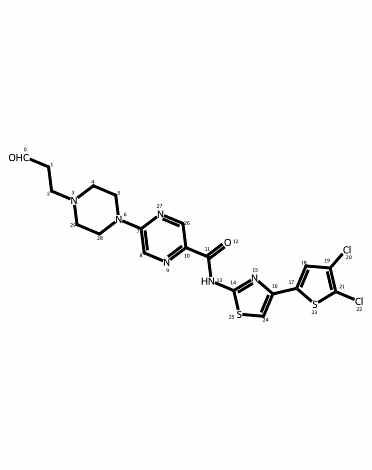 O=CCCN1CCN(c2cnc(C(=O)Nc3nc(-c4cc(Cl)c(Cl)s4)cs3)cn2)CC1